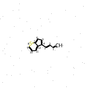 [CH]=CC=Cc1ccc2scccc1-2